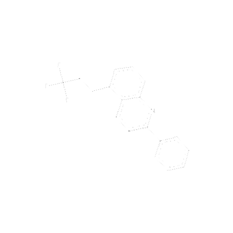 FC(F)(F)CCc1cccc2nc(-c3ccccc3)ccc12